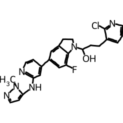 Cn1nccc1Nc1cc(-c2cc(F)c3c(c2)CCN3C(O)CCc2cccnc2Cl)ccn1